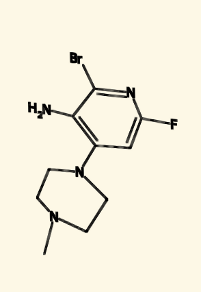 CN1CCN(c2cc(F)nc(Br)c2N)CC1